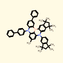 Cc1cc2c3c(c1)N(c1ccc4c(c1)C(C)(C)CC4(C)C)c1cc4c(cc1B3c1cc(-c3ccccc3)ccc1N2c1ccc(-c2ccccc2)cc1)C(C)(C)CC4(C)C